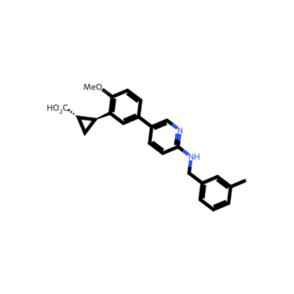 COc1ccc(-c2ccc(NCc3cccc(C)c3)nc2)cc1[C@H]1C[C@@H]1C(=O)O